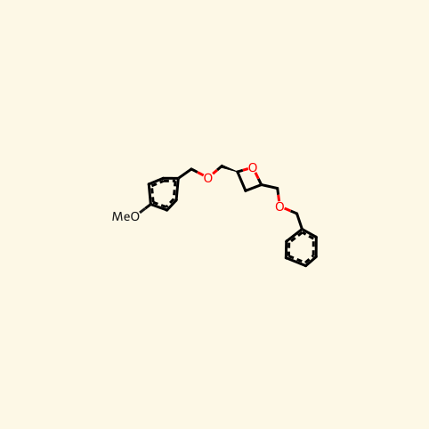 COc1ccc(COC[C@@H]2CC(COCc3ccccc3)O2)cc1